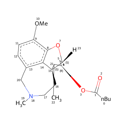 CCCCC(=O)O[C@@H]1C[C@@H]2Oc3c(OC)ccc4c3[C@]2(CCN(C)C4)C1C